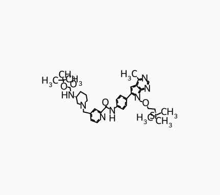 Cc1ncnc2c1cc(-c1ccc(NC(=O)c3cc(CN4CCC[C@@H](NC(=O)OC(C)(C)C)C4)ccn3)cc1)n2COCC[Si](C)(C)C